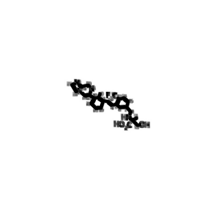 Cc1c(/C=C/c2cc(CN[C@@](C)(CO)C(=O)O)ccc2C(F)(F)F)cccc1-c1cn2ccnc2cn1